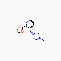 CN1CCN(Cc2cc[c]nc2C2OCCO2)CC1